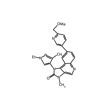 CCn1cc(-n2c(=O)n(C)c3cnc4ccc(-c5ccc(COC)nc5)cc4c32)c(C)n1